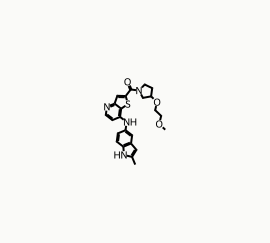 COCCOC1CCN(C(=O)c2cc3nccc(Nc4ccc5[nH]c(C)cc5c4)c3s2)C1